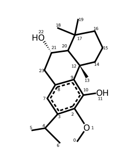 COc1c(C(C)C)cc2c(c1O)[C@@]1(C)CCCC(C)(C)C1[C@@H](O)C2